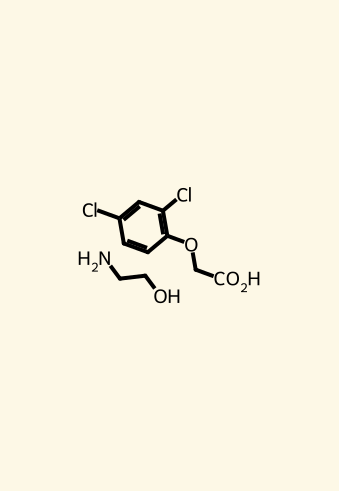 NCCO.O=C(O)COc1ccc(Cl)cc1Cl